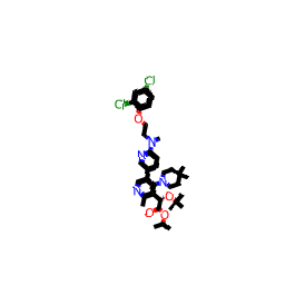 Cc1ncc(-c2ccc(N(C)CCOc3ccc(Cl)cc3Cl)nc2)c(N2CCC(C)(C)CC2)c1[C@H](OC(C)(C)C)C(=O)OC(C)C